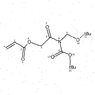 C=CC(=O)OCC(=O)N(COC(C)(C)C)C(=O)OC(C)(C)C